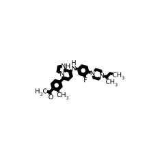 CCC(C)N1CCN(c2ccc(NC3=CC=C(c4ccc(C(C)=O)c(C)c4)N4C=CNC34)cc2F)CC1